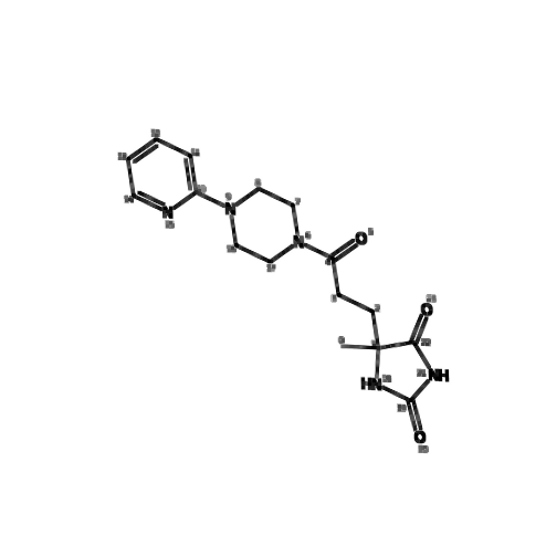 CC1(CCC(=O)N2CCN(c3ccccn3)CC2)NC(=O)NC1=O